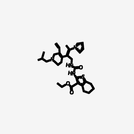 C=CC1=C(/C(CNC(=O)Nc2sc3c(c2C(=O)OCC)CCCC3)=C(\C)n2cccc2)CCN(CC(C)C)C1